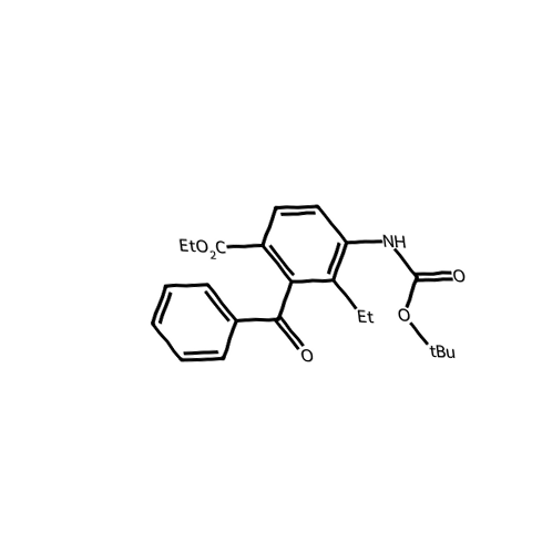 CCOC(=O)c1ccc(NC(=O)OC(C)(C)C)c(CC)c1C(=O)c1ccccc1